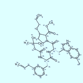 C=CCOC1CCN(C(=O)[C@H](Cc2c[nH]c3ccc(F)cc23)NC(=O)[C@H](Cc2cccc(CC=C)c2)NC(=O)OC(C)(C)C)C1C(=O)OC